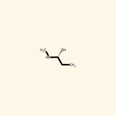 CC[C@@H](O)NC